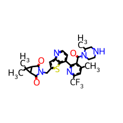 Cc1cc(C(F)(F)F)nc(-c2ccnc3cc(CN4C(=O)C5C(C4=O)C5(C)C)sc23)c1C(=O)N1CCNCC1C